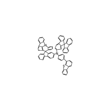 c1ccc2c(c1)-c1ccccc1C21c2ccccc2-c2ccc(N(c3ccc(-c4cccc5c4sc4ccccc45)cc3)c3ccc4c(c3)C3(c5ccccc5-4)c4ccccc4-n4c5ccccc5c5cccc3c54)cc21